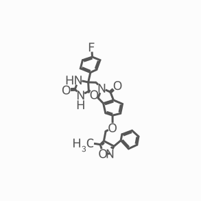 Cc1onc(-c2ccccc2)c1COc1ccc2c(c1)CN(CC1(c3ccc(F)cc3)NC(=O)NC1=O)C2=O